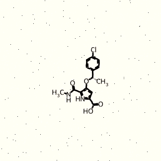 CNC(=O)c1[nH]c(C(=O)O)cc1O[C@@H](C)c1ccc(Cl)cc1